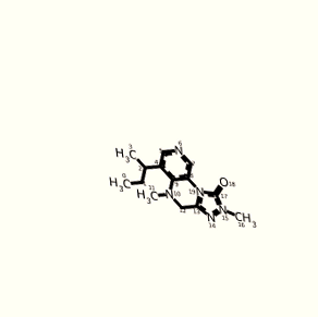 CCC(C)c1cncc2c1N(C)Cc1nn(C)c(=O)n1-2